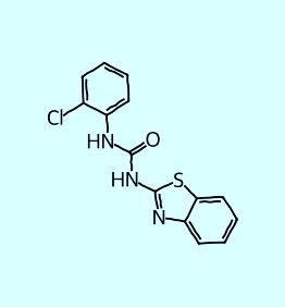 O=C(Nc1nc2ccccc2s1)Nc1ccccc1Cl